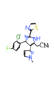 Cn1ccc(C2=C(CC#N)NC(c3nccs3)=NC2c2ccc(F)cc2Cl)n1